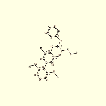 CCCCN(Cc1ccccc1)Cc1c(C)cc(-c2c(CC)cccc2CC)nc1C